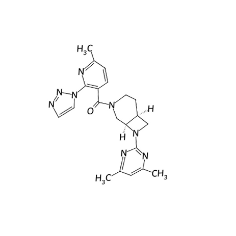 Cc1cc(C)nc(N2C[C@@H]3CCN(C(=O)c4ccc(C)nc4-n4ccnn4)C[C@@H]32)n1